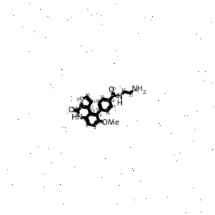 COc1ccc2[nH]c(=O)c3sccc3c2c1-c1ccc(C(=O)NCCN)cc1